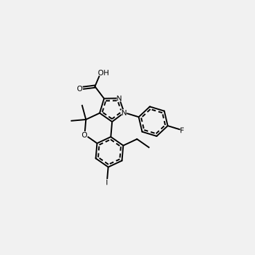 CCc1cc(I)cc2c1-c1c(c(C(=O)O)nn1-c1ccc(F)cc1)C(C)(C)O2